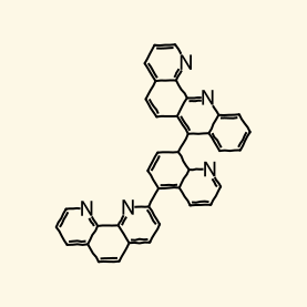 C1=CC2=C(c3ccc4ccc5cccnc5c4n3)C=CC(c3c4ccccc4nc4c3ccc3cccnc34)C2N=C1